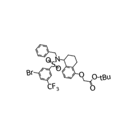 CC(C)(C)OC(=O)COc1cccc2c1CCCC2N(Cc1ccccc1)S(=O)(=O)c1cc(Br)cc(C(F)(F)F)c1